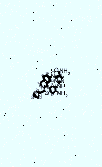 NC(=O)c1cnc(NC2CCCCC2N)nc1Nc1ccc2c(c1)CN(C(=O)c1ccccn1)CC2